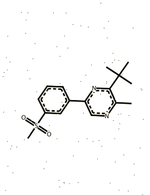 Cc1ncc(-c2cccc(S(C)(=O)=O)c2)nc1C(C)(C)C